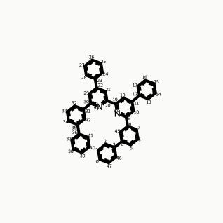 c1ccc(-c2cccc(-c3cc(-c4ccccc4)cc(-c4cc(-c5ccccc5)cc(-c5cccc(-c6ccccc6)c5)n4)n3)c2)cc1